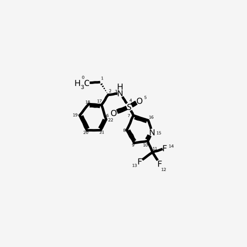 CC[C@H](NS(=O)(=O)c1ccc(C(F)(F)F)nc1)c1ccccc1